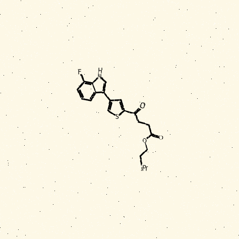 CC(C)CCOC(=O)CCC(=O)c1cc(-c2c[nH]c3c(F)cccc23)cs1